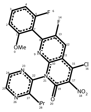 COc1cccc(F)c1-c1nc2c(cc1F)c(Cl)c([N+](=O)[O-])c(=O)n2-c1nccnc1C(C)C